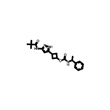 CC(NC(=O)OC1CC(c2cc(NC(=O)C(C)(C)C)n[nH]2)C1)c1ccccc1